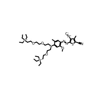 [C-]#[N+]c1c(/N=N/c2cc(C)c(N(CCOCCOCC[N+](CC)(CC)CC)CCOCC[N+](CC)(CC)CC)cc2OC)sc(C#N)c1C